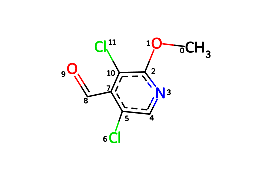 COc1ncc(Cl)c(C=O)c1Cl